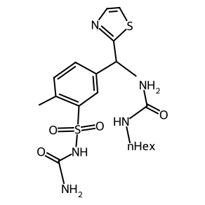 CCCCCCNC(N)=O.Cc1ccc(C(C)c2nccs2)cc1S(=O)(=O)NC(N)=O